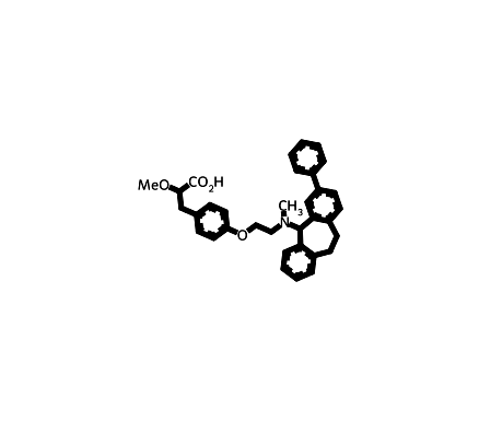 COC(Cc1ccc(OCCN(C)C2c3ccccc3CCc3ccc(-c4ccccc4)cc32)cc1)C(=O)O